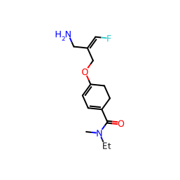 CCN(C)C(=O)C1=CC=C(OC/C(=C\F)CN)CC1